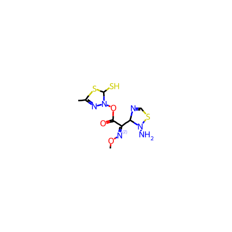 CO/N=C(\C(=O)ON1N=C(C)SC1S)C1N=CSN1N